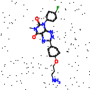 Cn1c(=O)c2nc(-c3ccc(OCCCN)cc3)nnc2n(-c2ccc(F)cc2)c1=O